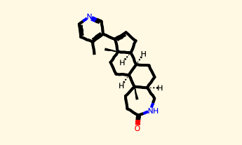 Cc1ccncc1C1=CC[C@H]2[C@H]3CC[C@H]4CNC(=O)CC[C@]4(C)[C@H]3CC[C@]12C